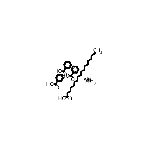 CCCCCCCCCCCCCCCCCC(=O)O.O=C(O)c1ccccc1.O=C(O)c1ccccc1.O=C(O)c1ccccc1.[AlH3].[AlH3]